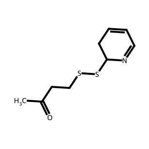 CC(=O)CCSSC1CC=CC=N1